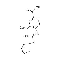 O=C(O)c1ccc2nc(Cc3cccs3)[nH]c(=O)c2c1